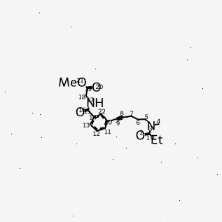 CCC(=O)N(C)CCCC#Cc1cccc(C(=O)NCC(=O)OC)c1